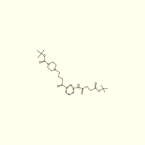 CC(C)(C)OC(=O)CCC(=O)Nc1cccc(C(=O)CCCN2CCN(C(=O)OC(C)(C)C)CC2)c1